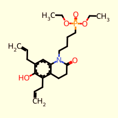 C=CCc1cc2c(c(CC=C)c1O)CCC(=O)N2CCCCP(=O)(OCC)OCC